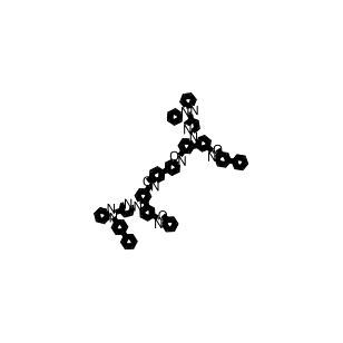 c1ccc(-c2ccc(-n3c(-c4ccc(-n5c6ccc(-c7nc8ccccc8o7)cc6c6cc(-c7nc8cc(-c9ccc%10nc(-c%11ccc%12c(c%11)c%11cc(-c%13nc%14ccc(-c%15ccccc%15)cc%14o%13)ccc%11n%12-c%11ccc(-c%12nc%13ccccc%13n%12-c%12ccccc%12)cn%11)oc%10c9)ccc8o7)ccc65)nc4)nc4ccccc43)cc2)cc1